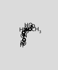 Cc1ccc(S(=O)(=O)Nc2ccc3oc(-c4ccc(OC(F)(F)F)cc4)nc3c2)cc1C(=O)O